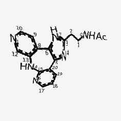 CC(=O)NCCc1nc2c([nH]1)-c1ccncc1Nc1ncccc1-2